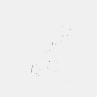 Cn1cncc1CN(CCNCc1cccc(C#N)c1)c1ccc(C#N)cc1